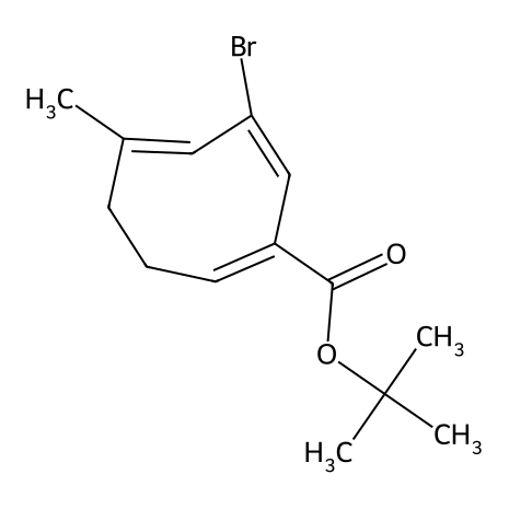 C\C1=C/C(Br)=C\C(C(=O)OC(C)(C)C)=C/CC1